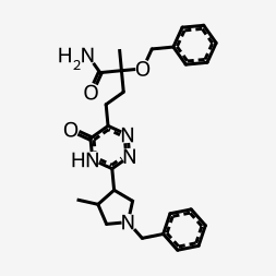 CC1CN(Cc2ccccc2)CC1c1nnc(CCC(C)(OCc2ccccc2)C(N)=O)c(=O)[nH]1